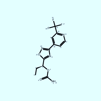 CC[C@H](OC(N)=O)c1nc(-c2ccnc(C(F)(F)F)c2)no1